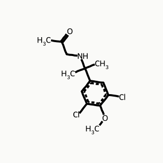 COc1c(Cl)cc(C(C)(C)NCC(C)=O)cc1Cl